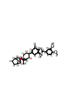 COc1ccc(-c2nc3c(C)cc(C4CCN(C5CC6CCC(C5)N6CC(C)C)CC4)cc3n2C)cc1OC